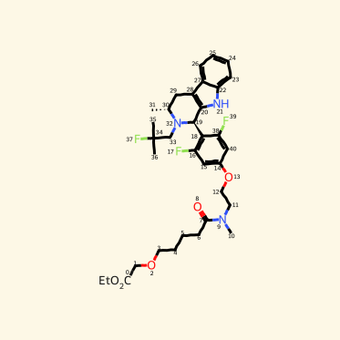 CCOC(=O)COCCCCC(=O)N(C)CCOc1cc(F)c([C@@H]2c3[nH]c4ccccc4c3C[C@@H](C)N2CC(C)(C)F)c(F)c1